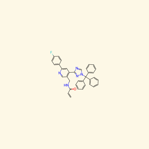 C=CC(=O)NCc1cnc(-c2ccc(F)cc2)cc1-c1ncn(C(c2ccccc2)(c2ccccc2)c2ccccc2)n1